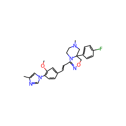 COc1cc(/C=C/C2=NOCC3(c4ccc(F)cc4)CN(C)CCN23)ccc1-n1cnc(C)c1